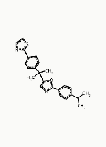 CC(C)c1ccc(-c2ncc(C(C)(C)c3ccc(-c4nccs4)cc3)o2)cc1